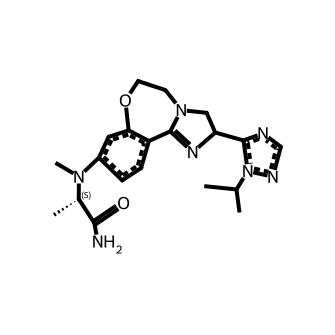 CC(C)n1ncnc1C1CN2CCOc3cc(N(C)[C@@H](C)C(N)=O)ccc3C2=N1